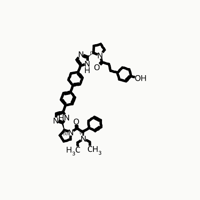 CCN(CC)[C@@H](C(=O)N1CCC[C@H]1c1ncc(-c2ccc(C3=CC=C(c4cnc([C@@H]5CCCN5C(=O)CCC5CC=C(O)CC5)[nH]4)CC3)cc2)[nH]1)C1C=CC=CC1